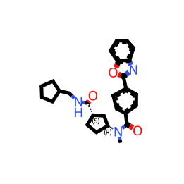 CN(C(=O)c1ccc(-c2nc3ccccc3o2)cc1)[C@@H]1CC[C@H](C(=O)NCC2CCCC2)C1